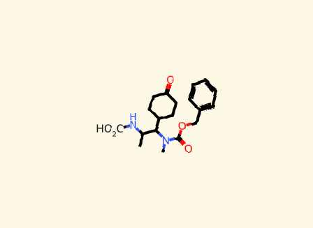 CC(NC(=O)O)C(C1CCC(=O)CC1)N(C)C(=O)OCc1ccccc1